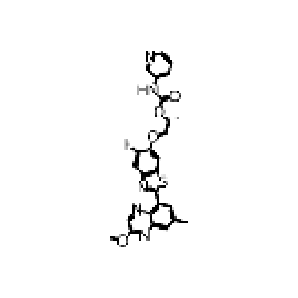 COc1cnc2c(-c3nc4cc(F)c(OC[C@@H](C)OC(=O)Nc5cccnc5)cc4s3)cc(C)cc2n1